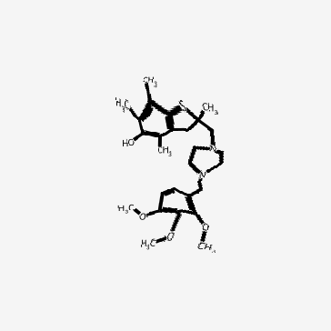 COc1ccc(CN2CCN(CC3(C)Cc4c(C)c(O)c(C)c(C)c4S3)CC2)c(OC)c1OC